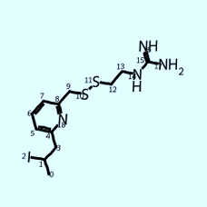 CC(I)Cc1cccc(CSSCCNC(=N)N)n1